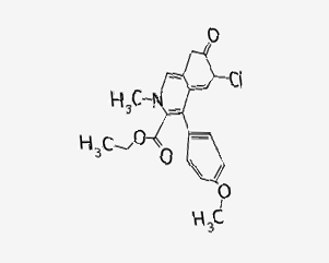 CCOC(=O)C1=C(c2ccc(OC)cc2)C2=CC(Cl)C(=O)CC2=CN1C